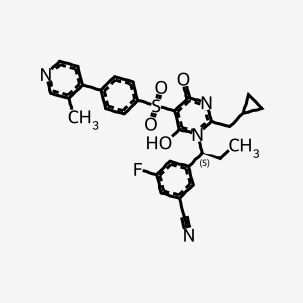 CC[C@@H](c1cc(F)cc(C#N)c1)n1c(CC2CC2)nc(=O)c(S(=O)(=O)c2ccc(-c3ccncc3C)cc2)c1O